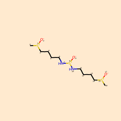 C[S+]([O-])CCCCN[S+]([O-])NCCCC[S+](C)[O-]